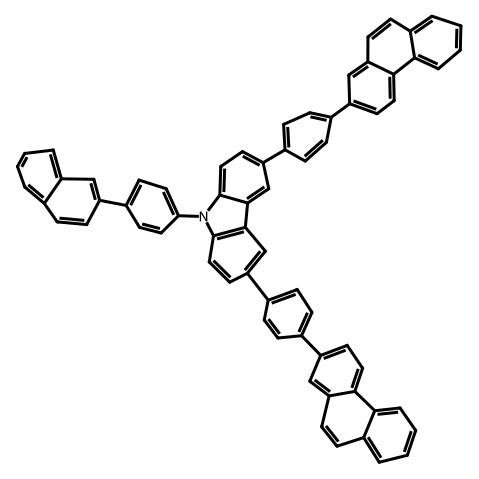 c1ccc2cc(-c3ccc(-n4c5ccc(-c6ccc(-c7ccc8c(ccc9ccccc98)c7)cc6)cc5c5cc(-c6ccc(-c7ccc8c(ccc9ccccc98)c7)cc6)ccc54)cc3)ccc2c1